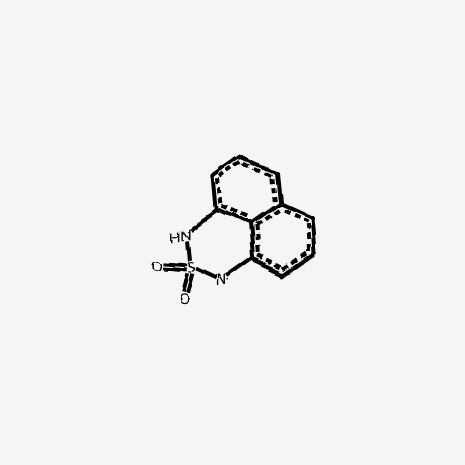 O=S1(=O)[N]c2cccc3cccc(c23)N1